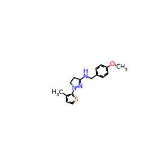 COc1ccc(CNC2=NN(c3sccc3C)CC2)cc1